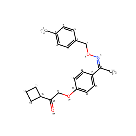 CC(=NOCc1ccc(C(F)(F)F)cc1)c1ccc(OCC(=O)C2CCC2)cc1